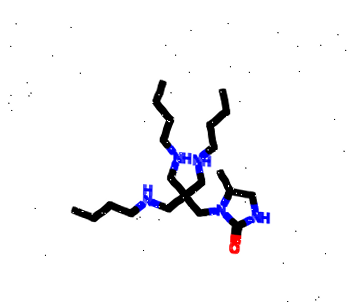 CCCCNCC(CNCCCC)(CNCCCC)CN1C(=O)NCC1C